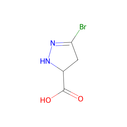 O=C(O)C1CC(Br)=NN1